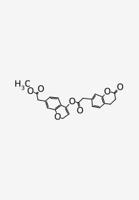 COC(=O)Cc1ccc2c(c1)OCC=C2OC(=O)Cc1ccc2c(c1)OC(=O)CC2